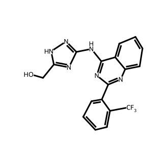 OCc1nc(Nc2nc(-c3ccccc3C(F)(F)F)nc3ccccc23)n[nH]1